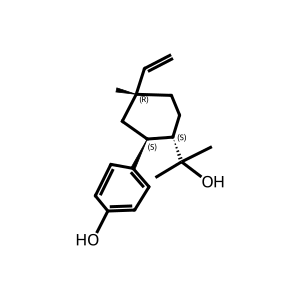 C=C[C@]1(C)CC[C@H](C(C)(C)O)[C@@H](c2ccc(O)cc2)C1